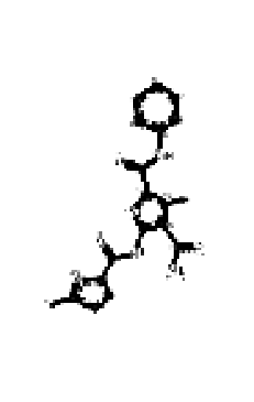 Cc1ccc(C(=O)Nc2sc(C(=O)Nc3ccccc3)c(C)c2C(N)=O)s1